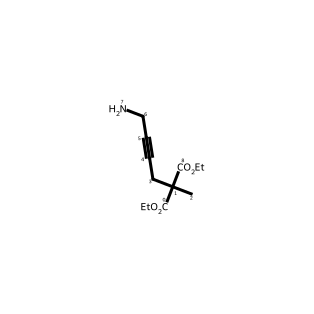 CCOC(=O)C(C)(CC#CCN)C(=O)OCC